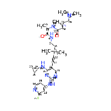 C[C@@H](C(=O)NCCC(C)(C)C#Cc1cnc(Nc2ccnc(F)c2)nc1NC1CC1)N(C)C(=O)/C=C/CN(C)C